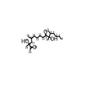 CCCCC(C)C(C)(O)C(=O)CCCCC(C)CC(C)(O)C(C)=O